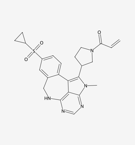 C=CC(=O)N1CCC(c2c3c4c(ncnc4n2C)NCc2cc(S(=O)(=O)C4CC4)ccc2-3)C1